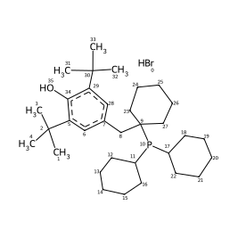 Br.CC(C)(C)c1cc(CC2(P(C3CCCCC3)C3CCCCC3)CCCCC2)cc(C(C)(C)C)c1O